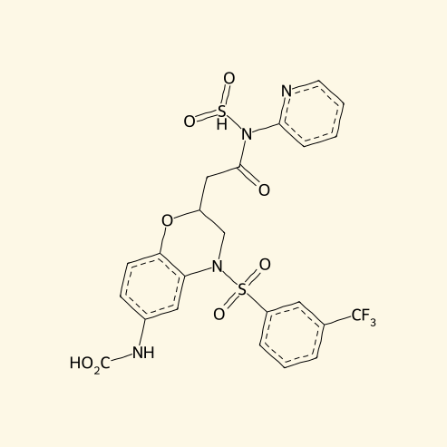 O=C(O)Nc1ccc2c(c1)N(S(=O)(=O)c1cccc(C(F)(F)F)c1)CC(CC(=O)N(c1ccccn1)[SH](=O)=O)O2